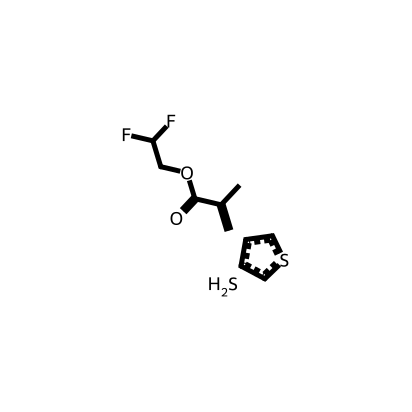 C=C(C)C(=O)OCC(F)F.S.c1ccsc1